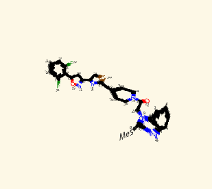 CSc1nc2ccccc2n1CC(=O)N1CCC(c2nc(C3=NOC(c4c(F)cccc4F)C3)cs2)CC1